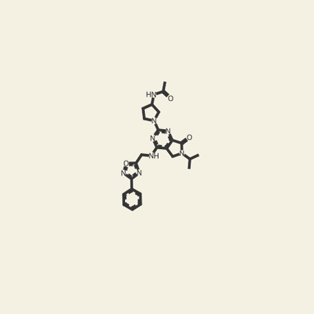 CC(=O)NC1CCN(c2nc(NCc3nc(-c4ccccc4)no3)c3c(n2)C(=O)N(C(C)C)C3)C1